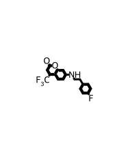 O=c1cc(C(F)(F)F)c2ccc(NCCc3ccc(F)cc3)cc2o1